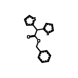 O=C(OCc1ccccc1)C(c1cccs1)c1cccs1